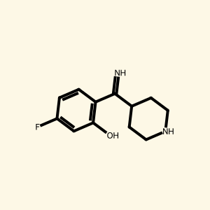 N=C(c1ccc(F)cc1O)C1CCNCC1